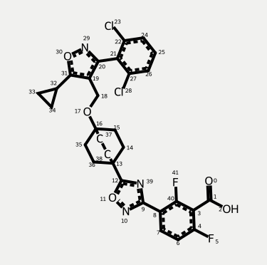 O=C(O)c1c(F)ccc(-c2noc(C34CCC(OCc5c(-c6c(Cl)cccc6Cl)noc5C5CC5)(CC3)CC4)n2)c1F